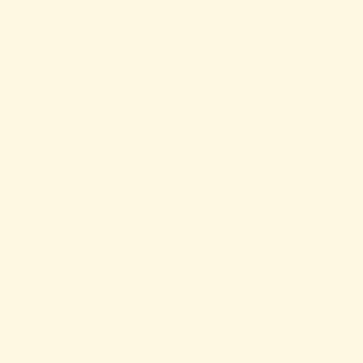 CCCC1CCC(c2ccc3cc(C4CCC(CCC)OC4)sc3c2F)CC1